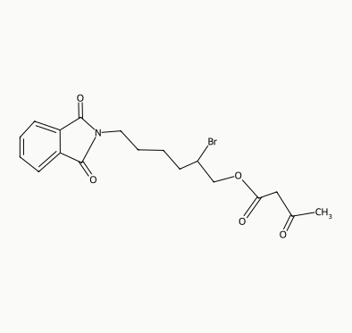 CC(=O)CC(=O)OCC(Br)CCCCN1C(=O)c2ccccc2C1=O